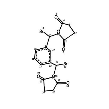 O=C1CCC(=O)N1C(Br)c1cccc(C(Br)N2C(=O)CCC2=O)c1